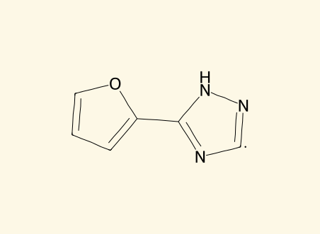 [c]1n[nH]c(-c2ccco2)n1